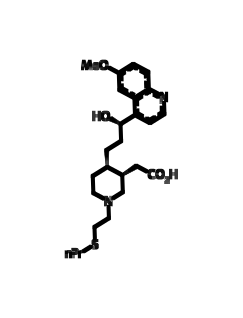 CCCSCCN1CC[C@@H](CC[C@@H](O)c2ccnc3ccc(OC)cc23)[C@@H](CC(=O)O)C1